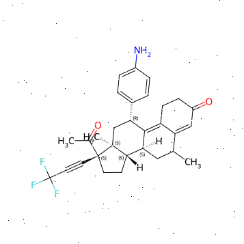 CC(=O)[C@@]1(C#CC(F)(F)F)CC[C@H]2[C@@H]3CC(C)C4=CC(=O)CCC4=C3[C@@H](c3ccc(N)cc3)C[C@@]21C